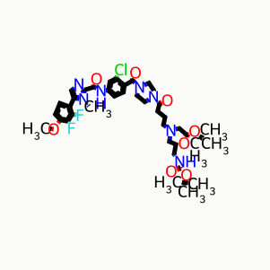 COc1ccc(-c2cnc(C(=O)Nc3ccc(C(=O)N4CCN(C(=O)CCCN(CCCNC(=O)OC(C)(C)C)CC(=O)OC(C)(C)C)CC4)c(Cl)c3)n2C)c(F)c1F